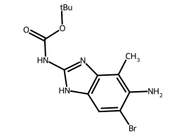 Cc1c(N)c(Br)cc2[nH]c(NC(=O)OC(C)(C)C)nc12